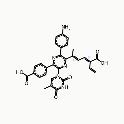 C=C/C(=C\C=C(/C)c1nc(-n2cc(C)c(=O)[nH]c2=O)c(-c2ccc(C(=O)O)cc2)nc1-c1ccc(N)cc1)C(=O)O